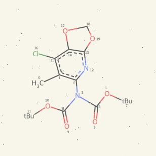 Cc1c(N(C(=O)OC(C)(C)C)C(=O)OC(C)(C)C)nc2c(c1Cl)OCO2